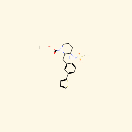 COC(=O)N1CCCC(NS(C)(=O)=O)C1Cc1cccc(-c2cccs2)c1